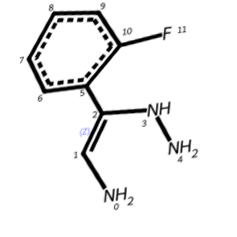 N/C=C(\NN)c1ccccc1F